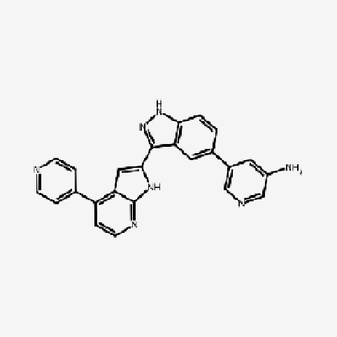 Nc1cncc(-c2ccc3[nH]nc(-c4cc5c(-c6ccncc6)ccnc5[nH]4)c3c2)c1